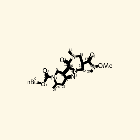 CCCCOC(=O)N1Cc2c(nn3c2C(=O)N(C)CC(C(=O)N(C)OC)C3)CC1C